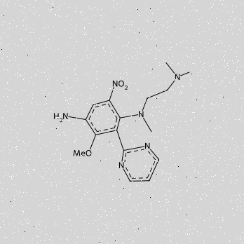 COc1c(N)cc([N+](=O)[O-])c(N(C)CCN(C)C)c1-c1ncccn1